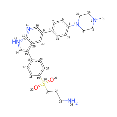 CN1CCN(c2ccc(-c3cnc4[nH]cc(-c5ccc(S(=O)(=O)CCCN)cc5)c4c3)cc2)CC1